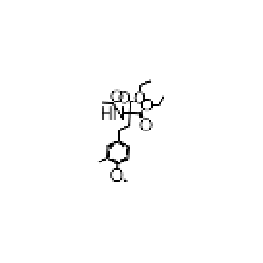 CCOC(=O)C(CCc1ccc(OC)c(C)c1)(NC(C)=O)C(=O)OCC